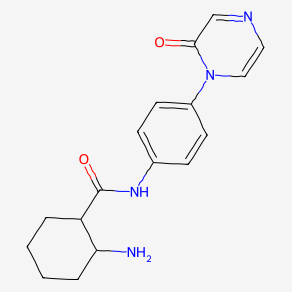 NC1CCCCC1C(=O)Nc1ccc(-n2ccncc2=O)cc1